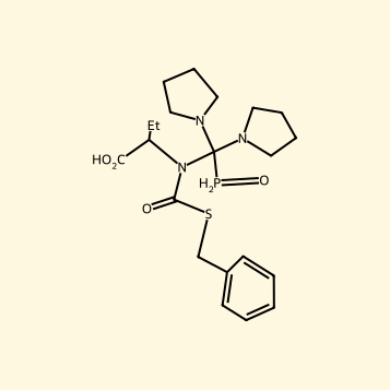 CCC(C(=O)O)N(C(=O)SCc1ccccc1)C([PH2]=O)(N1CCCC1)N1CCCC1